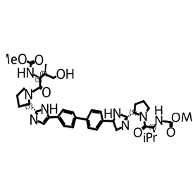 COC(=O)N[C@H](C(=O)N1CCC[C@H]1C1=NCC(c2ccc(-c3ccc(-c4cnc([C@@H]5CCCN5C(=O)[C@@H](NC(=O)OC)[C@@H](C)CO)[nH]4)cc3)cc2)N1)C(C)C